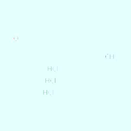 CCCCCC=O.Cl.Cl.Cl